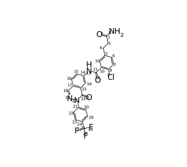 NC(=O)CCc1ccc(Cl)c(C(=O)Nc2ccc3cnn(-c4ccc(C(F)(F)F)cc4)c(=O)c3c2)c1